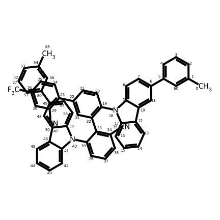 Cc1cccc(-c2ccc3c(c2)c2ccccc2n3-c2ccc(-c3ccc(C(F)(F)F)cc3C#N)cc2-c2c(C#N)cccc2-n2c3ccccc3c3cc(-c4cccc(C)c4)ccc32)c1